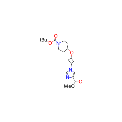 COC(=O)c1cn(C2CC(OC3CCN(C(=O)OC(C)(C)C)CC3)C2)cn1